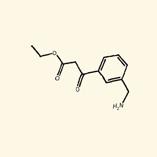 CCOC(=O)CC(=O)c1cccc(CN)c1